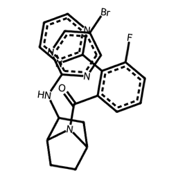 O=C(c1cccc(F)c1-c1ncccn1)N1C2CCC1C(Nc1ncc(Br)cn1)C2